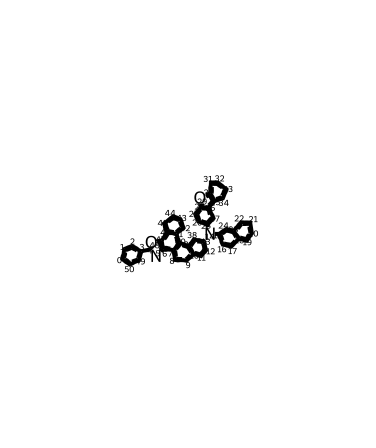 c1ccc(-c2nc3c4ccc5ccc(N(c6ccc7ccccc7c6)c6ccc7oc8ccccc8c7c6)cc5c4c4ccccc4c3o2)cc1